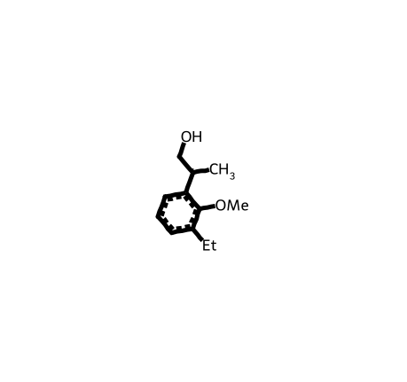 CCc1cccc([C](C)CO)c1OC